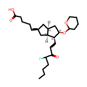 CCCCC(F)C(=O)C=C[C@H]1[C@H]2CC(=CCCCC(=O)O)C[C@H]2C[C@H]1OC1CCCCO1